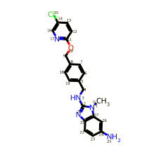 Cn1c(NCc2ccc(COc3ccc(Cl)cn3)cc2)nc2ccc(N)cc21